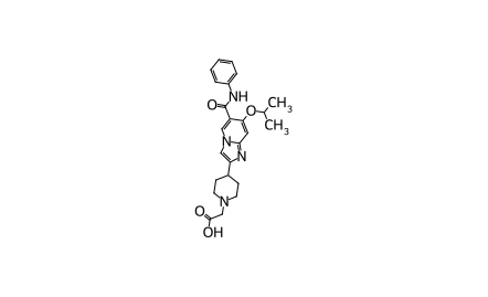 CC(C)Oc1cc2nc(C3CCN(CC(=O)O)CC3)cn2cc1C(=O)Nc1ccccc1